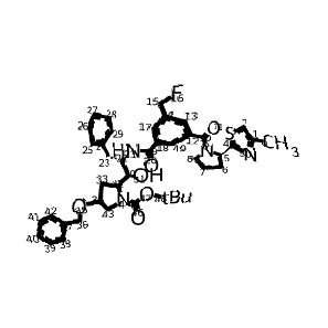 Cc1csc([C@H]2CCCN2C(=O)c2cc(CF)cc(C(=O)N[C@@H](Cc3ccccc3)[C@H](O)C3CC(OCc4ccccc4)CN3C(=O)OC(C)(C)C)c2)n1